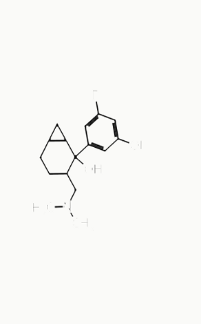 CN(C)CC1CCC2CC2C1(O)c1cc(O)cc(F)c1